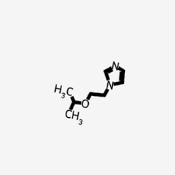 CC(C)OCCn1ccnc1